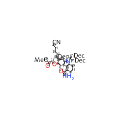 CCCCCCCCCCC(CCCCCCCCCC)(CCCCCCCCCC)n1c2c(c3cc(OCC(=O)OC)c(CCCCCC#N)cc31)C(C(N)=O)CCC2